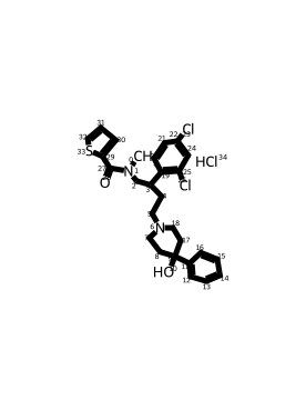 CN(CC(CCN1CCC(O)(c2ccccc2)CC1)c1ccc(Cl)cc1Cl)C(=O)c1cccs1.Cl